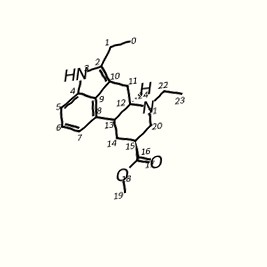 CCc1[nH]c2cccc3c2c1C[C@@H]1C3C[C@H](C(=O)OC)CN1CC